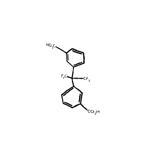 O=C(O)c1cccc(C(c2cccc(C(=O)O)c2)(C(F)(F)F)C(F)(F)F)c1